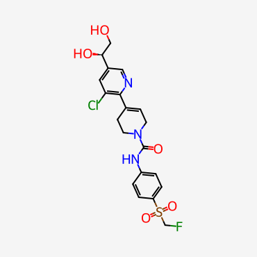 O=C(Nc1ccc(S(=O)(=O)CF)cc1)N1CC=C(c2ncc([C@@H](O)CO)cc2Cl)CC1